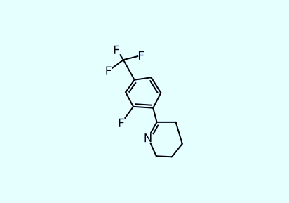 Fc1cc(C(F)(F)F)ccc1C1=NCCCC1